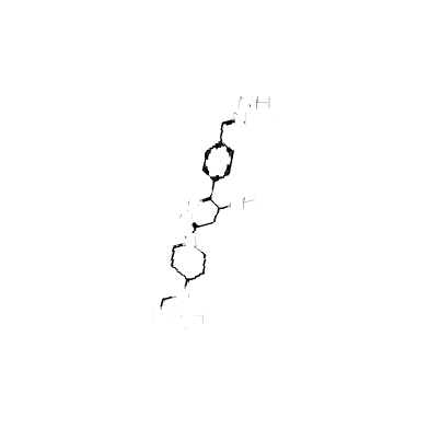 CC(CC(=O)N1CCC(OCC(=O)O)CC1)C(=O)c1ccc(C=NN)cc1